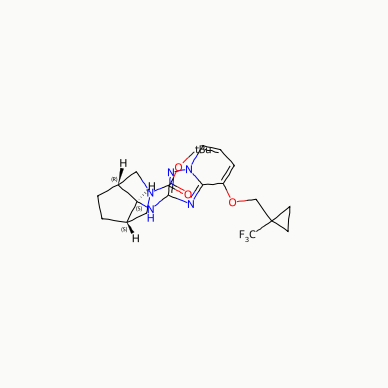 CC(C)(C)OC(=O)N1C[C@H]2CC[C@@H](C1)[C@@H]2Nc1nc2c(OCC3(C(F)(F)F)CC3)cccn2n1